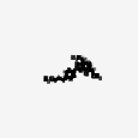 CCCCc1ccc(NC=C(S(=O)(=O)CC)S(=O)(=O)CC)cc1